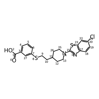 O=C(O)c1cccc(SCCC2CCN(c3nc4ccc(Cl)cc4s3)CC2)c1